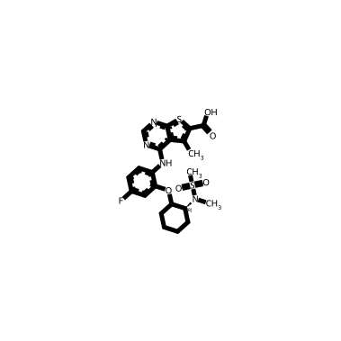 Cc1c(C(=O)O)sc2ncnc(Nc3ccc(F)cc3OC3CCCC[C@H]3N(C)S(C)(=O)=O)c12